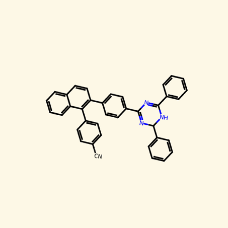 N#Cc1ccc(-c2c(-c3ccc(C4=NC(c5ccccc5)NC(c5ccccc5)=N4)cc3)ccc3ccccc23)cc1